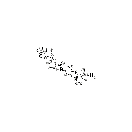 CS(=O)(=O)c1cccc(-c2cccc(C(=O)N[C@H]3CC[C@H](Oc4ncccc4C(N)=O)CC3)c2)c1